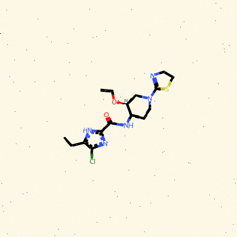 CCO[C@H]1CN(C2=NCCS2)CCC1NC(=O)c1nc(Cl)c(CC)[nH]1